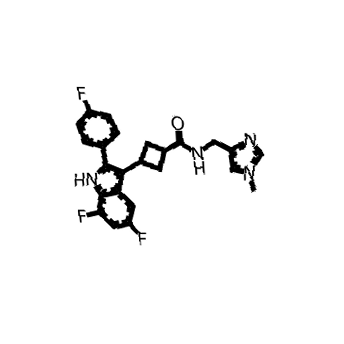 Cn1cnc(CNC(=O)C2CC(c3c(-c4ccc(F)cc4)[nH]c4c(F)cc(F)cc34)C2)c1